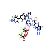 CCn1c(CNC(=O)c2nc3cc[nH]c3nc2N)[n+](CC)c2ccc(C3CCNCC3)cc21.O=C(O)C(F)(F)F.O=C([O-])C(F)(F)F